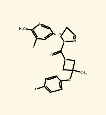 Cc1ncc([C@@H]2CC=NN2C(=O)N2CC(C)(Oc3ccc(F)cc3)C2)cc1F